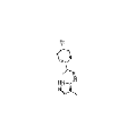 CCC1C=CC(C(C)/C=N\c2[nH]ncc2C)=CC1